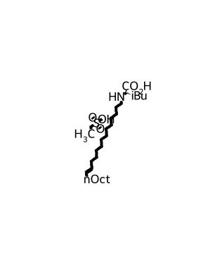 CCCCCCCC/C=C/CCCCCCCCCCCCN[C@H](C(=O)O)[C@@H](C)CC.CCS(=O)(=O)O